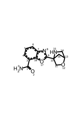 NC(=O)c1cccc2nc(C34COC(CN3)C4)oc12